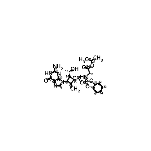 C=C1[C@@H](n2cnc3c(=O)[nH]c(N)nc32)[C@H](CO)[C@H]1COP(=O)(NCC(=O)OC(C)C)Oc1ccccc1